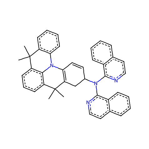 CC1(C)C2=C(C=CC(N(c3nccc4ccccc34)c3nccc4ccccc34)C2)N2c3ccccc3C(C)(C)c3cccc1c32